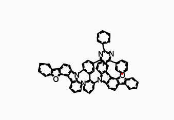 c1ccc(-c2nc(-c3ccccc3)nc(-c3ccc(-n4c5ccccc5c5c6oc7ccccc7c6ccc54)c(-c4ncccc4-n4c5ccccc5c5c6oc7ccccc7c6ccc54)c3)n2)cc1